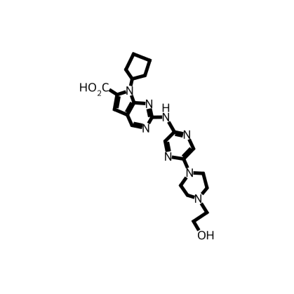 O=C(O)c1cc2cnc(Nc3cnc(N4CCN(CCO)CC4)cn3)nc2n1C1CCCC1